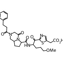 COCCCC(NC(=O)C1CCC2CN(C(=O)CCc3ccccc3)CC(=O)N21)C(=O)c1ncc(CC(=O)O)s1